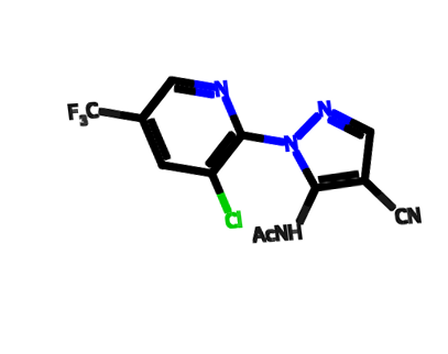 CC(=O)Nc1c(C#N)cnn1-c1ncc(C(F)(F)F)cc1Cl